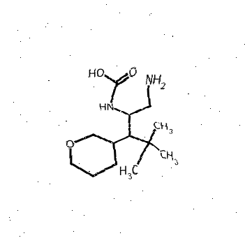 CC(C)(C)C(C1CCCOC1)C(CN)NC(=O)O